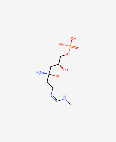 CN/C=N\CC[C@@](N)(O)C[C@H](O)COP(=O)(O)O